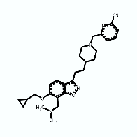 CN(C)Cc1c(OCC2CC2)ccc2c(CCC3CCN(Cc4cccc(C#N)n4)CC3)noc12